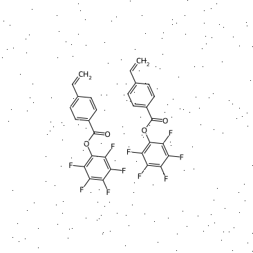 C=Cc1ccc(C(=O)Oc2c(F)c(F)c(F)c(F)c2F)cc1.C=Cc1ccc(C(=O)Oc2c(F)c(F)c(F)c(F)c2F)cc1